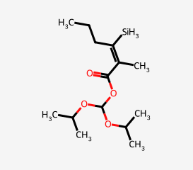 CCCC([SiH3])=C(C)C(=O)OC(OC(C)C)OC(C)C